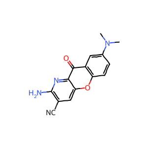 CN(C)c1ccc2oc3cc(C#N)c(N)nc3c(=O)c2c1